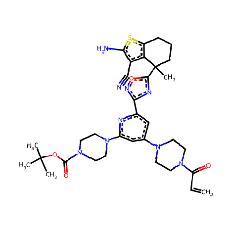 C=CC(=O)N1CCN(c2cc(-c3noc(C4(C)CCCc5sc(N)c(C#N)c54)n3)nc(N3CCN(C(=O)OC(C)(C)C)CC3)c2)CC1